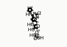 O=P(O)(O)COC[C@H]1O[C@@H](Cc2ccc3c(NC4CCCC4)nc(Cl)nn23)[C@H](O)[C@@H]1O